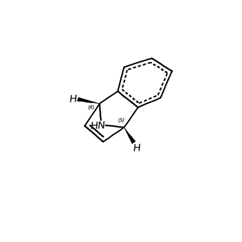 C1=C[C@H]2N[C@@H]1c1ccccc12